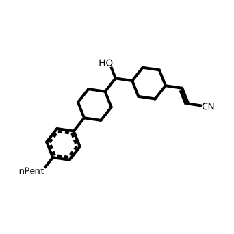 CCCCCc1ccc(C2CCC(C(O)C3CCC(C=CC#N)CC3)CC2)cc1